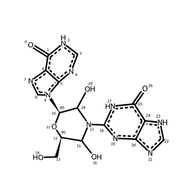 O=c1[nH]cnc2c1ncn2[C@@H]1O[C@H](CO)C(O)N(c2nc3nc[nH]c3c(=O)[nH]2)C1O